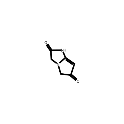 O=C1C=C2NC(=O)CN2C1